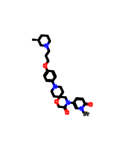 CC(C)n1cc(N2CC3(CCN(c4ccc(OCCCN5CCC[C@H](C)C5)cc4)CC3)OCC2=O)ccc1=O